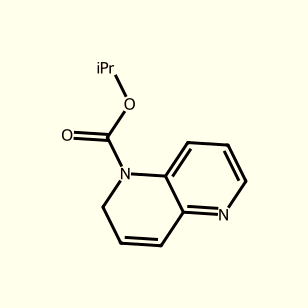 CC(C)OC(=O)N1CC=Cc2ncccc21